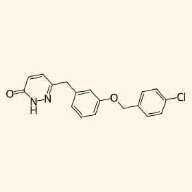 O=c1ccc(Cc2cccc(OCc3ccc(Cl)cc3)c2)n[nH]1